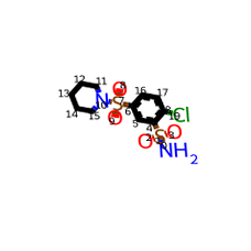 NS(=O)(=O)c1cc(S(=O)(=O)N2CCCCC2)ccc1Cl